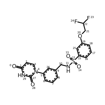 O=c1ccn(-c2cccc(CNS(=O)(=O)c3cccc(OCC(F)F)c3)c2)c(=O)[nH]1